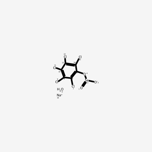 O.O=[Se]([O-])Oc1c(Cl)c(Cl)c(Cl)c(Cl)c1Cl.[Na+]